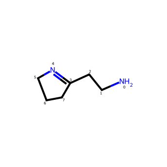 NCCC1=NCCC1